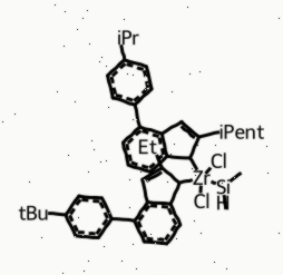 CCCC(C)C1=Cc2c(-c3ccc(C(C)C)cc3)cccc2[CH]1[Zr]([Cl])([Cl])([CH]1C(CC)=Cc2c(-c3ccc(C(C)(C)C)cc3)cccc21)[SiH](C)C